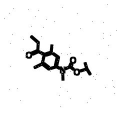 CCC(=O)c1c(C)cc(N(C)C(=O)OC(C)C)cc1C